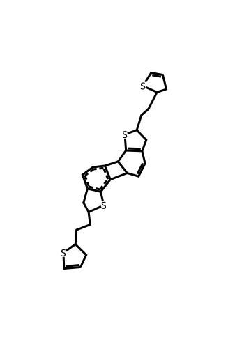 C1=CSC(CCC2CC3=C(S2)C2c4ccc5c(c4C2C=C3)SC(CCC2CC=CS2)C5)C1